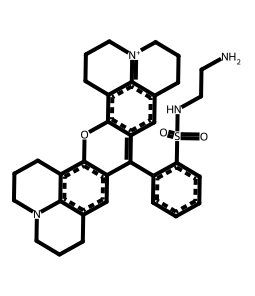 NCCNS(=O)(=O)c1ccccc1C1=c2cc3c4c(c2Oc2c1cc1c5c2CCCN5CCC1)CCC[N+]=4CCC3